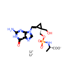 C[C@H](NP(=O)([O-])OC[C@@]1(CO)C/C1=C/n1cnc2c(=O)[nH]c(N)nc21)C(=O)[O-].[Li+].[Li+]